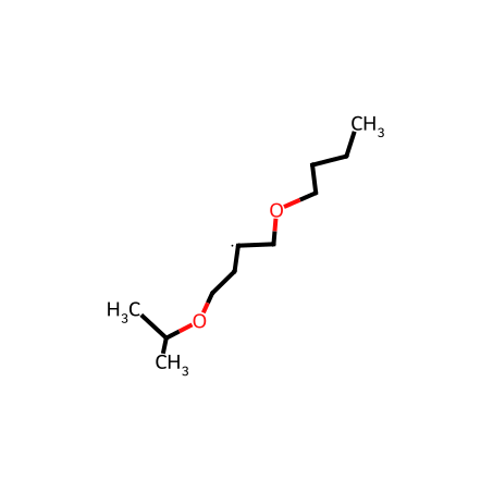 CCCCOC[CH]CCOC(C)C